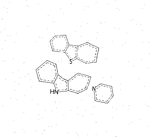 c1ccc2c(c1)[nH]c1ccccc12.c1ccc2c(c1)sc1ccccc12.c1ccncc1